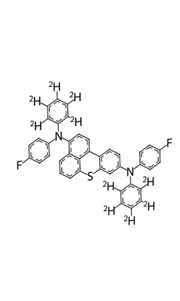 [2H]c1c([2H])c([2H])c(N(c2ccc(F)cc2)c2ccc3c(c2)Sc2cccc4c(N(c5ccc(F)cc5)c5c([2H])c([2H])c([2H])c([2H])c5[2H])ccc-3c24)c([2H])c1[2H]